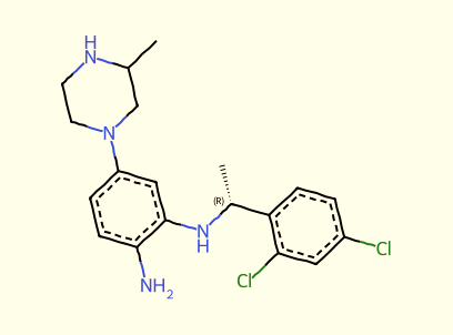 CC1CN(c2ccc(N)c(N[C@H](C)c3ccc(Cl)cc3Cl)c2)CCN1